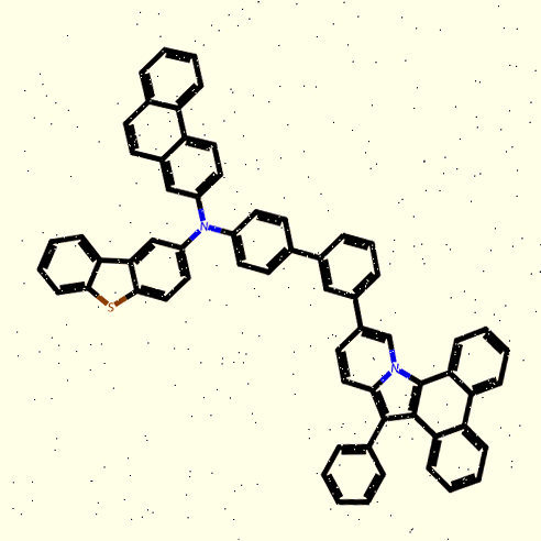 c1ccc(-c2c3c4ccccc4c4ccccc4c3n3cc(-c4cccc(-c5ccc(N(c6ccc7c(ccc8ccccc87)c6)c6ccc7sc8ccccc8c7c6)cc5)c4)ccc23)cc1